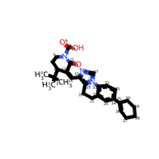 CC(C)(C)C1CCN(C(=O)O)C(=O)C1=Cc1ncn2c1CCc1cc(C3=CCCCC3)ccc1-2